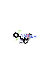 CC1(C)[C@H]2CC[C@]1([C@H]1CNCCO1)C(=N)/C2=C\C(=N)c1c(F)cccc1F